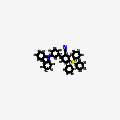 N#Cc1cc(S(c2ccccc2)(c2ccccc2)c2ccccc2)ccc1-c1cccc(-n2c3ccccc3c3ccccc32)c1